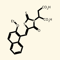 CCOc1ccc2ccccc2c1/C=C1\SC(=S)N(C(CC(=O)O)C(=O)O)C1=O